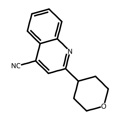 N#Cc1cc(C2CCOCC2)nc2ccccc12